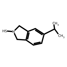 CC(C)c1ccc2c(c1)CN(S)C2